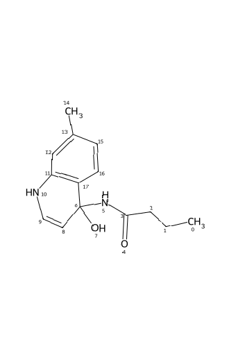 CCCC(=O)NC1(O)C=CNc2cc(C)ccc21